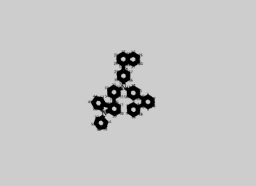 c1ccc(-c2ccccc2-c2ccc(N(c3ccc(-c4cccc5ccccc45)cc3)c3cccc(-c4cccc5c4c4ccccc4n5-c4ccccc4)c3)cc2)cc1